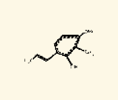 CC=Cc1ccc(OC)c(C)c1O